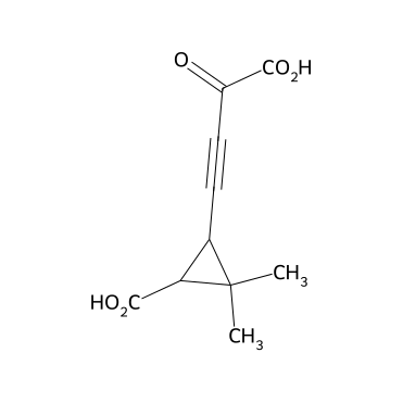 CC1(C)C(C#CC(=O)C(=O)O)C1C(=O)O